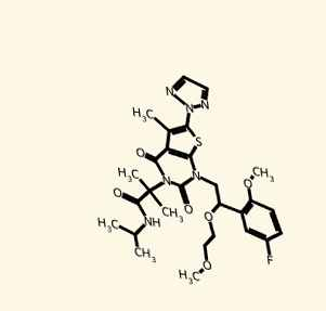 COCCOC(Cn1c(=O)n(C(C)(C)C(=O)NC(C)C)c(=O)c2c(C)c(-n3nccn3)sc21)c1cc(F)ccc1OC